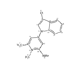 CCc1cn(-c2cc(C)[n+](C)c(NC)c2)c2ccccc12